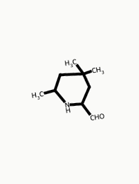 CC1CC(C)(C)CC(C=O)N1